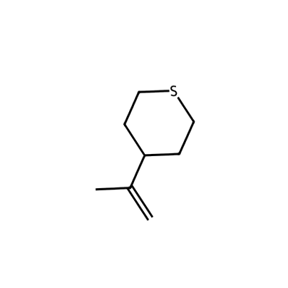 C=C(C)C1CCSCC1